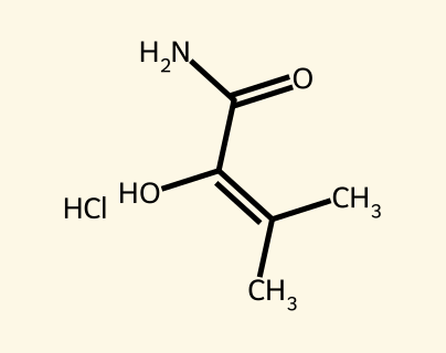 CC(C)=C(O)C(N)=O.Cl